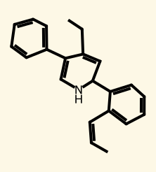 C/C=C\c1ccccc1C1C=C(CC)C(c2ccccc2)=CN1